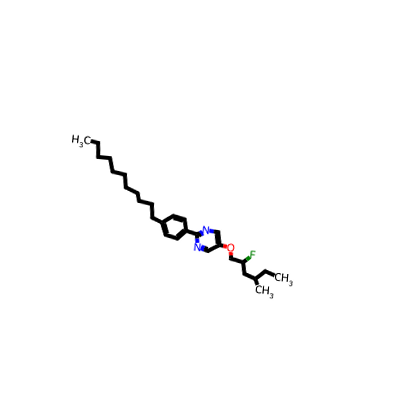 CCCCCCCCCCCc1ccc(-c2ncc(OCC(F)CC(C)CC)cn2)cc1